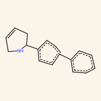 C1=CCC(c2ccc(-c3ccccc3)cc2)NC1